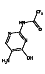 Nc1cnc(NC(=O)C(F)(F)F)nc1O